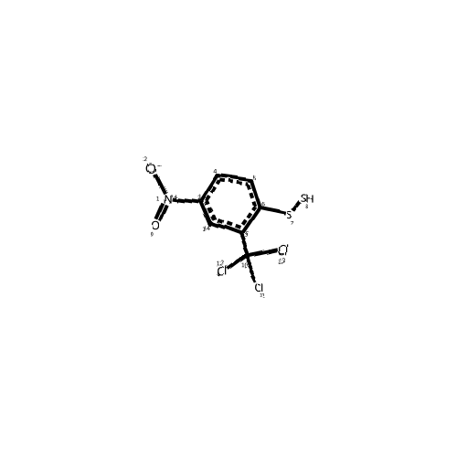 O=[N+]([O-])c1ccc(SS)c(C(Cl)(Cl)Cl)c1